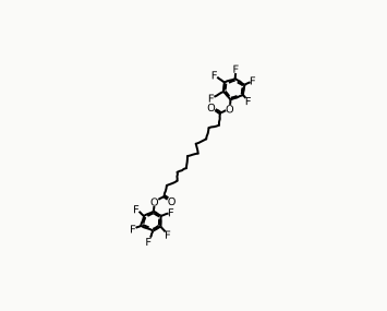 O=C(CCCCCCCCCCC(=O)Oc1c(F)c(F)c(F)c(F)c1F)Oc1c(F)c(F)c(F)c(F)c1F